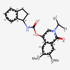 CCC(CC)n1cc(OC(=O)NC2CCc3ccccc32)c2cc(OC)c(OC)cc2c1=O